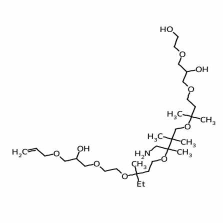 C=CCOCC(O)COCCOC(C)(CC)CCOC(C)(CN)C(C)(C)COC(C)(C)CCOCC(O)COCCO